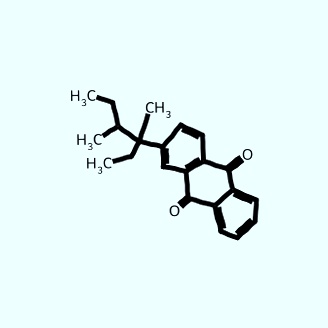 CCC(C)C(C)(CC)c1ccc2c(c1)C(=O)c1ccccc1C2=O